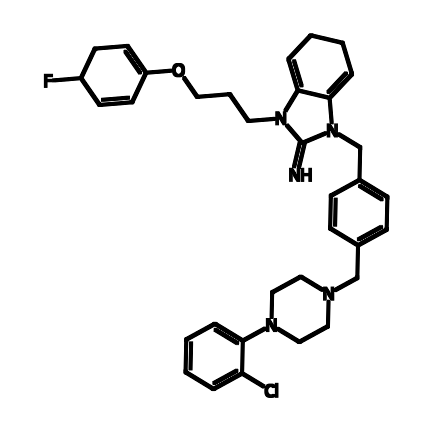 N=c1n(CCCOC2=CCC(F)C=C2)c2c(n1Cc1ccc(CN3CCN(c4ccccc4Cl)CC3)cc1)=CCCC=2